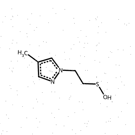 Cc1cnn(CCSO)c1